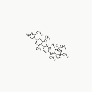 Cc1n[nH]cc1-c1cc(O)c(-c2ccc(N(C)C3CC(C)(C)NC(C)(C)C3)nn2)c(OC(F)(F)F)c1